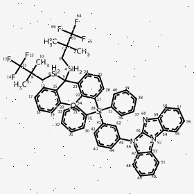 CC(C)(C[SiH2]C1([SiH2]CC(C)(C)C(F)(F)F)c2ccccc2Oc2c1cccc2[Si](c1ccccc1)(c1ccccc1)c1cccc(-n2c3ccccc3n3c4ccccc4nc23)c1)C(F)(F)F